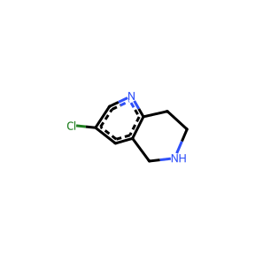 Clc1cnc2c(c1)CNCC2